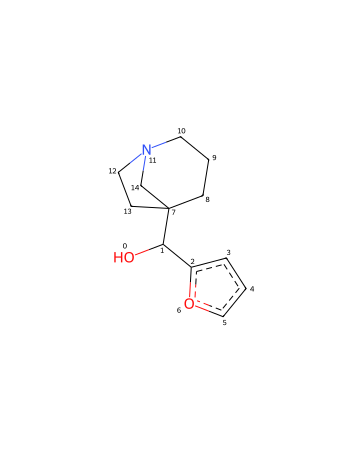 OC(c1ccco1)C12CCCN(CC1)C2